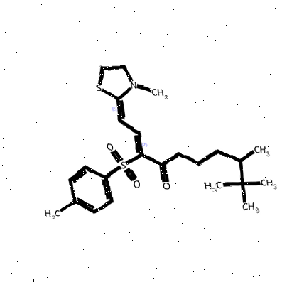 Cc1ccc(S(=O)(=O)/C(=C\C=C2\SCCN2C)C(=O)CCCC(C)C(C)(C)C)cc1